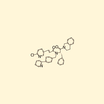 O=C([C@H](Cc1ccccc1)N(Cc1ccc(-c2ccccn2)cc1)C(=O)/C=C/c1ccc(Cl)nc1)N1CCc2ccccc2C1